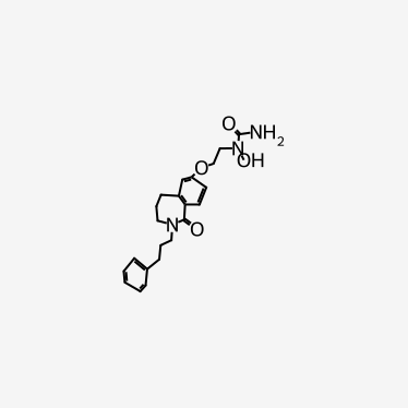 NC(=O)N(O)CCOc1ccc2c(c1)CCCN(CCCc1ccccc1)C2=O